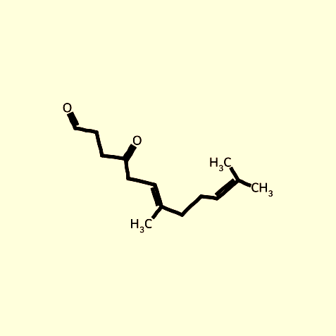 CC(C)=CCCC(C)=CCC(=O)CCC=O